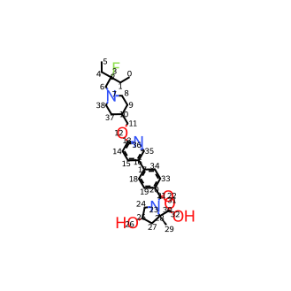 CCC(F)(CC)CN1CCC(COc2ccc(-c3ccc(C(=O)N4C[C@H](O)C[C@@]4(C)C(=O)O)cc3)cn2)CC1